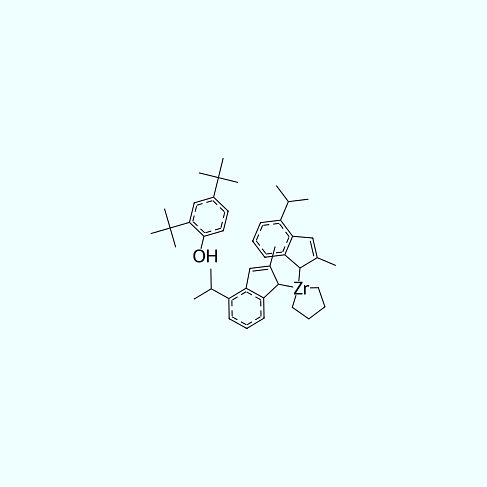 CC(C)(C)c1ccc(O)c(C(C)(C)C)c1.CC1=Cc2c(C(C)C)cccc2[CH]1[Zr]1([CH]2C(C)=Cc3c(C(C)C)cccc32)[CH2]CC[CH2]1